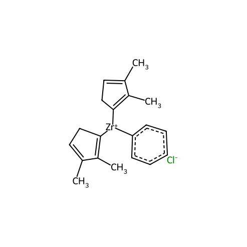 CC1=CC[C]([Zr+]([C]2=C(C)C(C)=CC2)[c]2ccccc2)=C1C.[Cl-]